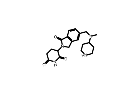 CN(Cc1ccc2c(c1)CN(C1CCC(=O)NC1=O)C2=O)C1CCNCC1